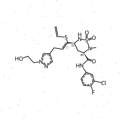 C=CS/C(=C\Cc1cnn(CCO)c1)[C@@H]1C[C@H](C(=O)Nc2ccc(F)c(Cl)c2)N(C)S(=O)(=O)N1